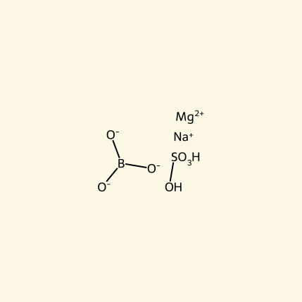 O=S(=O)(O)O.[Mg+2].[Na+].[O-]B([O-])[O-]